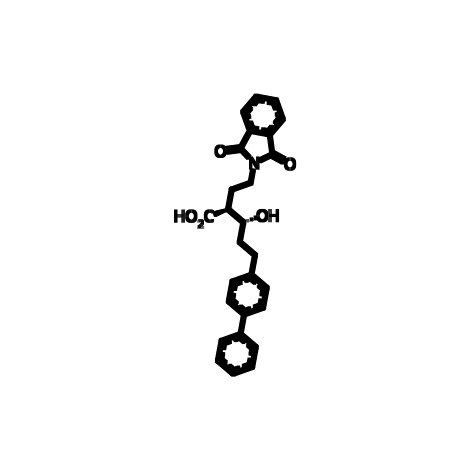 O=C(O)[C@@H](CCN1C(=O)c2ccccc2C1=O)[C@H](O)CCc1ccc(-c2ccccc2)cc1